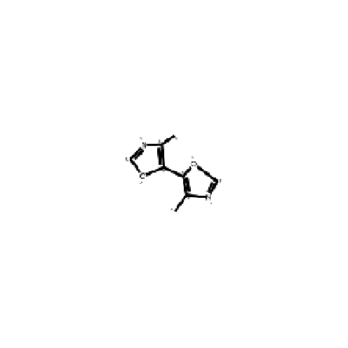 Cc1ncoc1-c1ocnc1C